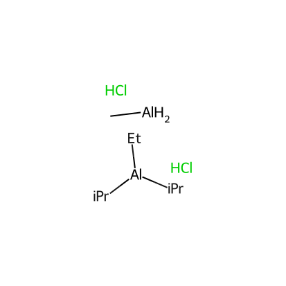 C[CH2][Al]([CH](C)C)[CH](C)C.Cl.Cl.[CH3][AlH2]